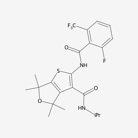 CC(C)NC(=O)c1c(NC(=O)c2c(F)cccc2C(F)(F)F)sc2c1C(C)(C)OC2(C)C